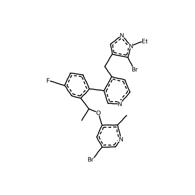 CCn1ncc(Cc2ccncc2-c2ccc(F)cc2C(C)Oc2cc(Br)cnc2C)c1Br